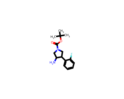 CC(C)(C)OC(=O)N1CC(N)C(c2ccccc2F)C1